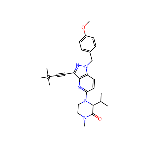 COc1ccc(Cn2nc(C#C[Si](C)(C)C)c3nc(N4CCN(C)C(=O)C4C(C)C)ccc32)cc1